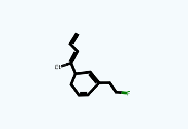 C=C/C=C(\CC)C1C=C(CCF)C=CC1